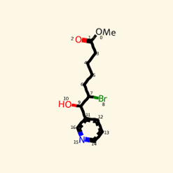 COC(=O)CCCCC(Br)C(O)c1cccnc1